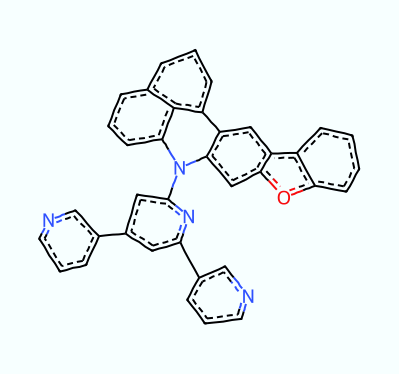 c1cncc(-c2cc(-c3cccnc3)nc(N3c4cc5oc6ccccc6c5cc4-c4cccc5cccc3c45)c2)c1